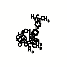 CS[C@H]1CN(C(=O)C(NC(=O)c2ccc(N3CCN(C(C)C)CC3)cc2)C(C)(C)C)[C@@H]2C(=O)CO[C@H]12